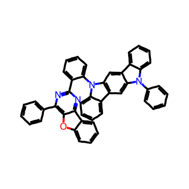 c1ccc(-c2nc(-c3ccccc3-n3c4ccccc4c4cc5c(cc43)c3ccccc3n5-c3ccccc3)nc3c2oc2ccccc23)cc1